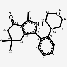 Cc1[nH]c(-c2ccccc2N2CCOCC2)c2c1C(=O)CC(C)(C)C2